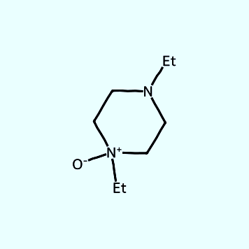 CCN1CC[N+]([O-])(CC)CC1